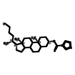 CC(C)CCC[C@@H](C)[C@H]1CCC2C3CCC4C[C@@H](OC(=S)n5ccnc5)CC[C@]4(C)C3CC[C@@]21C